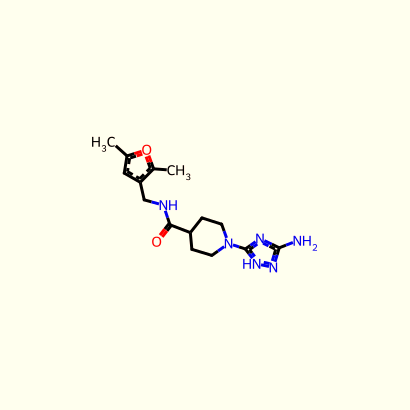 Cc1cc(CNC(=O)C2CCN(c3nc(N)n[nH]3)CC2)c(C)o1